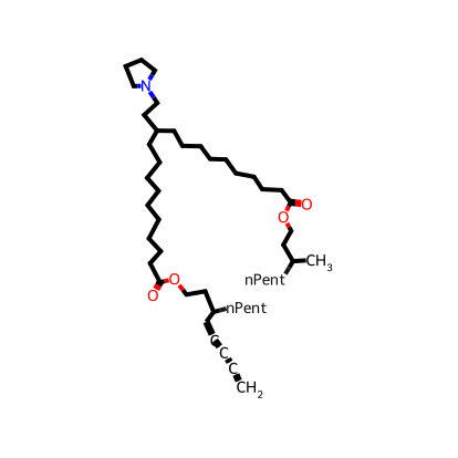 C=C=C=C=CC(CCCCC)CCOC(=O)CCCCCCCCCC(CCCCCCCCCC(=O)OCCC(C)CCCCC)CCN1CCCC1